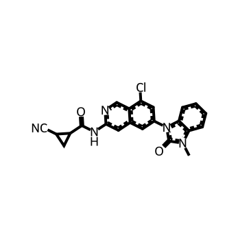 Cn1c(=O)n(-c2cc(Cl)c3cnc(NC(=O)C4CC4C#N)cc3c2)c2ccccc21